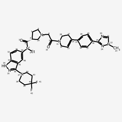 CCN(C(=O)[C@@H]1CCN(CC(=O)N2CC=C(c3ccc(-c4ncn(C)n4)cc3)CC2)C1)c1ccc2[nH]nc(N3CCC(F)(F)CC3)c2c1